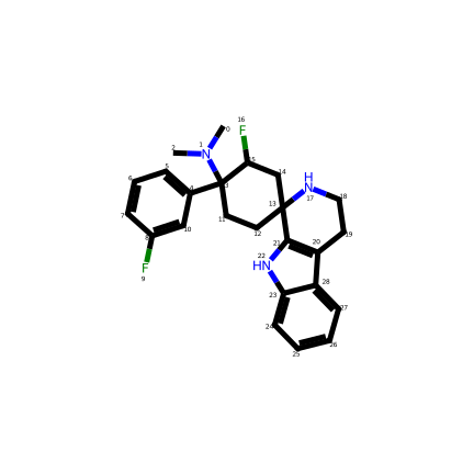 CN(C)C1(c2cccc(F)c2)CCC2(CC1F)NCCc1c2[nH]c2ccccc12